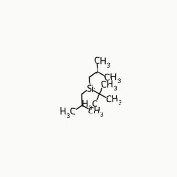 CC(C)C[Si](CC(C)C)C(C)(C)C